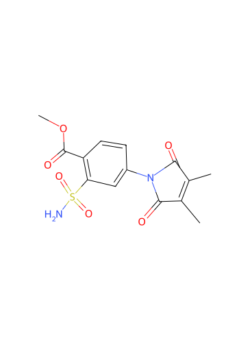 COC(=O)c1ccc(N2C(=O)C(C)=C(C)C2=O)cc1S(N)(=O)=O